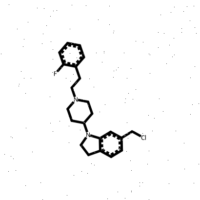 Fc1ccccc1CCN1CCC(N2CCc3ccc(CCl)cc32)CC1